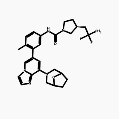 Cc1ccc(NC(=O)N2CC[C@@H](CC(F)(P)I)C2)cc1-c1cc(N2CC3CCC(C2)O3)c2nccn2c1